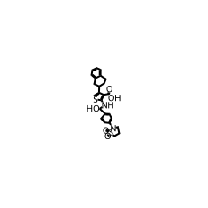 O=C(O)c1c(C2CCc3ccccc3C2)csc1NC(O)c1ccc(N2CCCS2(=O)=O)cc1